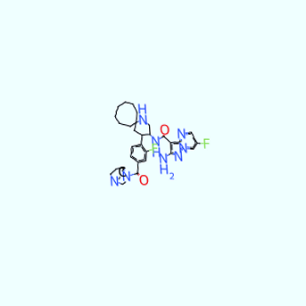 Nc1nn2cc(F)cnc2c1C(=O)NC1CNC2(CCCCCCC2)CC1c1ccc(C(=O)N2CCN3CCC2CC3)cc1F